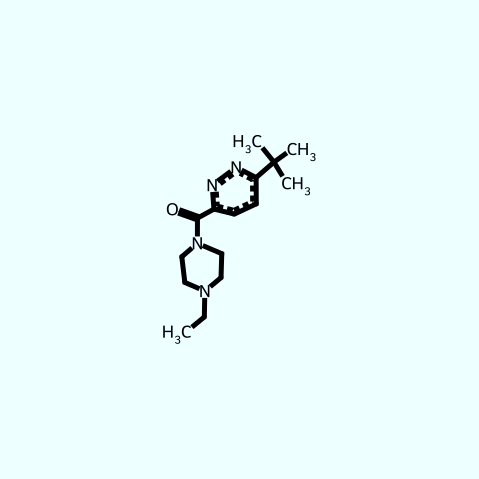 CCN1CCN(C(=O)c2ccc(C(C)(C)C)nn2)CC1